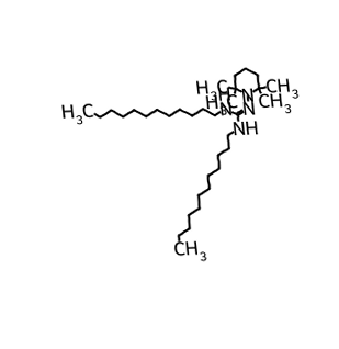 CCCCCCCCCCCCNC(=NN1C(C)(C)CCCC1(C)C)NCCCCCCCCCCCC